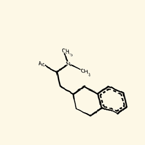 CC(=O)C(CC1CCc2ccccc2C1)N(C)C